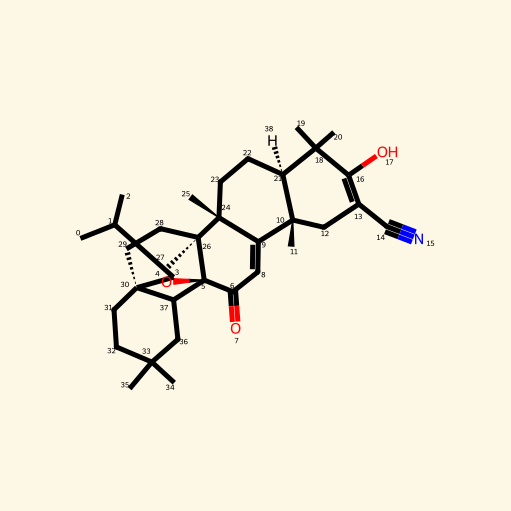 CC(C)C1O[C@]23C(=O)C=C4[C@@]5(C)CC(C#N)=C(O)C(C)(C)[C@@H]5CC[C@@]4(C)[C@]2(C)CC[C@]12CCC(C)(C)CC23